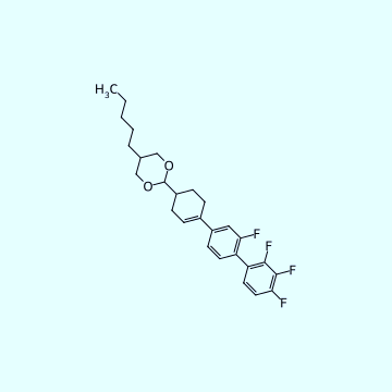 CCCCCC1COC(C2CC=C(c3ccc(-c4ccc(F)c(F)c4F)c(F)c3)CC2)OC1